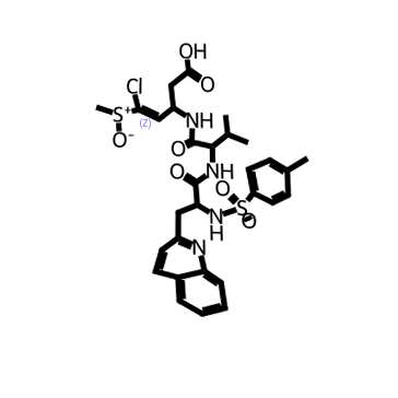 Cc1ccc(S(=O)(=O)NC(Cc2ccc3ccccc3n2)C(=O)NC(C(=O)NC(/C=C(\Cl)[S+](C)[O-])CC(=O)O)C(C)C)cc1